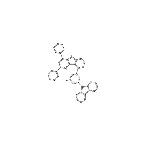 Cc1cc(-c2cccc3sc4c(-c5ccccc5)nc(-c5ccccc5)nc4c23)cc(-n2c3ccccc3c3ccccc32)c1